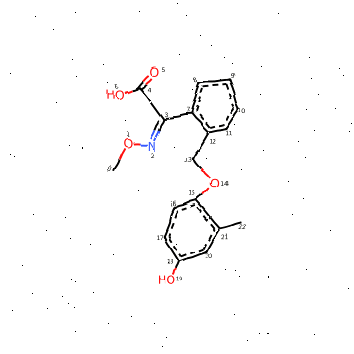 CON=C(C(=O)O)c1ccccc1COc1ccc(O)cc1C